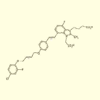 Cc1c(CCCC(=O)O)c2c(F)ccc(/C=C/c3ccc(OC/C=C/COc4ccc(Cl)cc4F)cc3)c2n1CC(=O)O